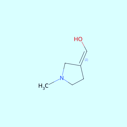 CN1CC/C(=C/O)C1